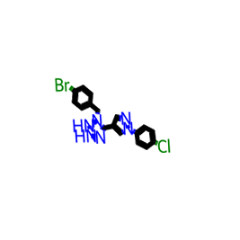 Clc1ccc(-n2cc(C3=NNNN3Cc3ccc(Br)cc3)cn2)cc1